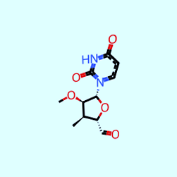 CO[C@@H]1[C@H](C)[C@@H](C=O)O[C@H]1n1ccc(=O)[nH]c1=O